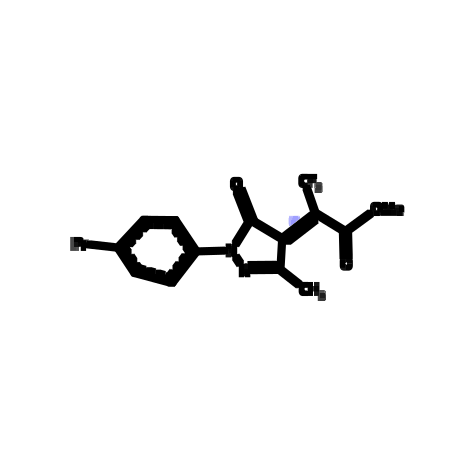 COC(=O)/C(=C1/C(=O)N(c2ccc(C(C)C)cc2)N=C1C)C(F)(F)F